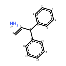 C=CC(c1ccccc1)c1ccccc1.N